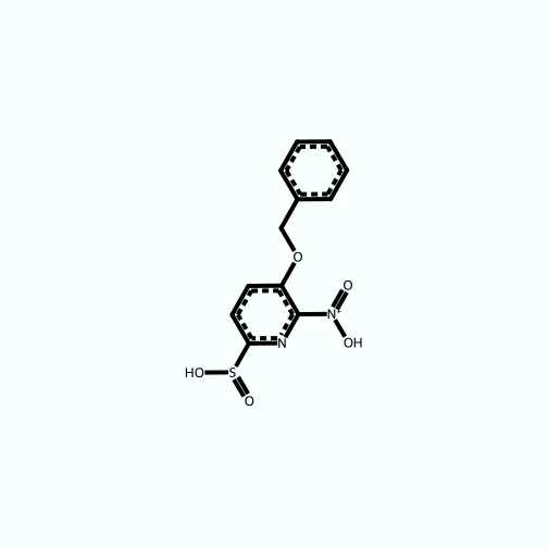 O=[N+](O)c1nc(S(=O)O)ccc1OCc1ccccc1